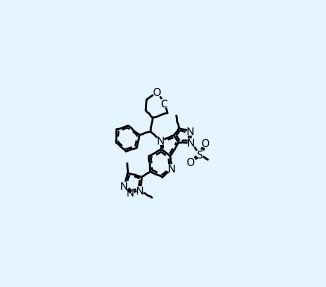 Cc1nnn(C)c1-c1cnc2c3c(c(C)nn3S(C)(=O)=O)n(C(c3ccccc3)C3CCOCC3)c2c1